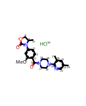 COc1cc(N2C(=O)OCC2C)ccc1C(=O)N1CCN(c2ncc(C)cc2C)CC1.Cl